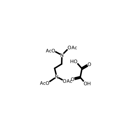 CC(=O)ON(CCN(OC(C)=O)OC(C)=O)OC(C)=O.O=C(O)C(=O)O